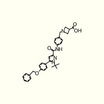 CC(C)(C)n1nc(C(=O)Nc2ccc(CN3CC(C(=O)O)C3)cc2)cc1-c1ccc(OCc2ccccc2)cc1